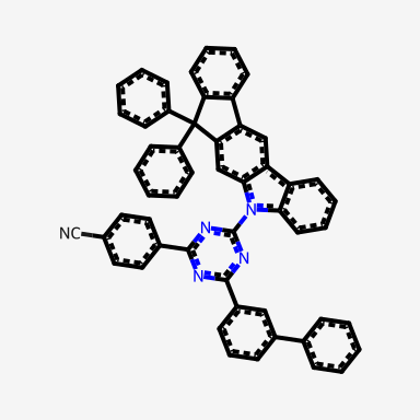 N#Cc1ccc(-c2nc(-c3cccc(-c4ccccc4)c3)nc(-n3c4ccccc4c4cc5c(cc43)C(c3ccccc3)(c3ccccc3)c3ccccc3-5)n2)cc1